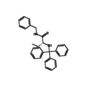 CC[C@@H](NC(c1ccccc1)(c1ccccc1)c1ccccc1)C(=O)NCc1ccccc1